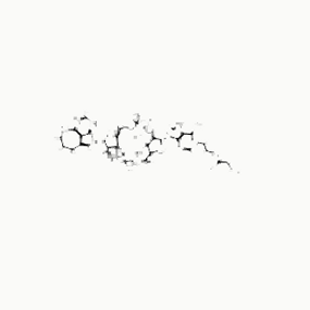 O=C(CO)NCCn1cnc2c(ncn2[C@@H]2O[C@@H]3COP(=O)(S)O[C@H]4[C@@H](O)[C@H](n5cc6c7c(ncnc75)NCCC6)O[C@@H]4COP(=O)(S)O[C@@H]2[C@@H]3O)c1=O